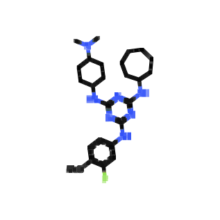 COc1ccc(Nc2nc(NC3CCCCCC3)nc(NC3CCC(N(C)C)CC3)n2)cc1F